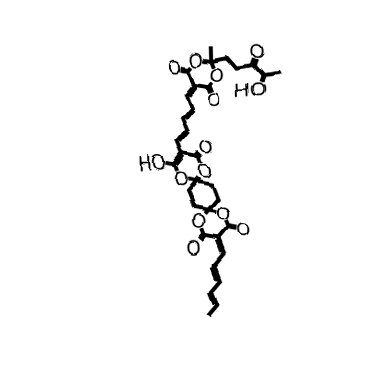 C/C=C/C=C/C=C1C(=O)OC2(CCC3(CC2)OC(=O)C(/C=C/C=C/C=C2C(=O)OC(C)(CCC(=O)C(C)O)OC2=O)=C(O)O3)OC1=O